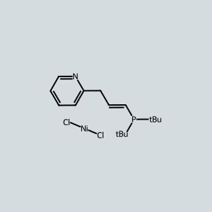 CC(C)(C)P(C=CCc1ccccn1)C(C)(C)C.[Cl][Ni][Cl]